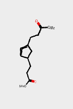 COC(=O)CCC1=C=CC(CCC(=O)OC)C1